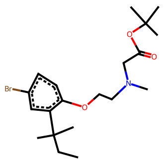 CCC(C)(C)c1cc(Br)ccc1OCCN(C)CC(=O)OC(C)(C)C